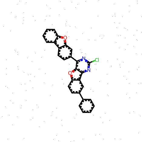 Clc1nc(-c2ccc3c(c2)oc2ccccc23)c2oc3ccc(-c4ccccc4)cc3c2n1